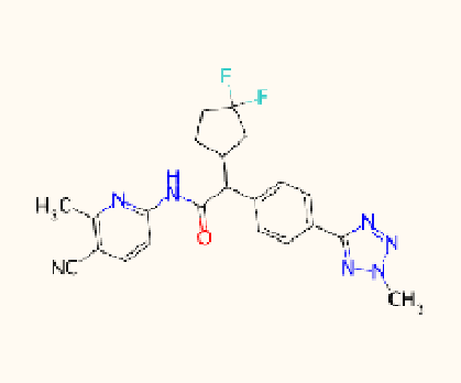 Cc1nc(NC(=O)C(c2ccc(-c3nnn(C)n3)cc2)C2CCC(F)(F)C2)ccc1C#N